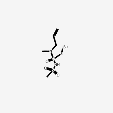 C=CCN(C)P(=O)(NS(C)(=O)=O)SC(C)CC